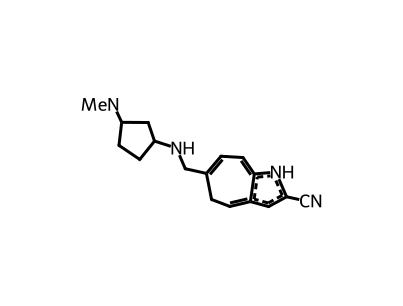 CNC1CCC(NCC2=CC=c3[nH]c(C#N)cc3=CC2)C1